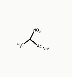 CC(=O)C(C)[N+](=O)[O-].[Na+]